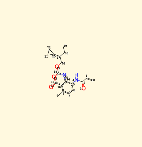 C=CC(=O)Nc1ccc(C)c2c(=O)oc(OCC(CC)C3CC3)nc12